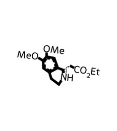 CCOC(=O)C[C@@H]1NCCc2cc(OC)c(OC)cc21